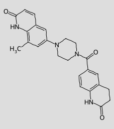 Cc1cc(N2CCN(C(=O)c3ccc4c(c3)CCC(=O)N4)CC2)cc2ccc(=O)[nH]c12